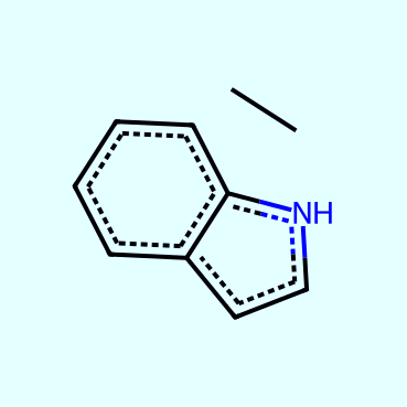 CC.c1ccc2[nH]ccc2c1